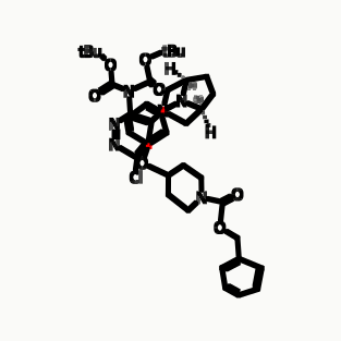 CC(C)(C)OC(=O)N(C(=O)OC(C)(C)C)c1nnc(Cl)cc1N1C[C@H]2CC[C@@H](C1)N2c1cccc(OC2CCN(C(=O)OCc3ccccc3)CC2)c1